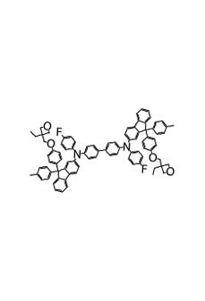 CCC1(COc2ccc(C3(c4ccc(C)cc4)c4ccccc4-c4ccc(N(c5ccc(F)cc5)c5ccc(-c6ccc(N(c7ccc(F)cc7)c7ccc8c(c7)C(c7ccc(C)cc7)(c7ccc(OCC9(CC)COC9)cc7)c7ccccc7-8)cc6)cc5)cc43)cc2)COC1